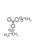 C=CC(=O)Oc1ccc(N(c2ccccc2)c2ccc(OC(=O)C(=C)C)cc2)cc1